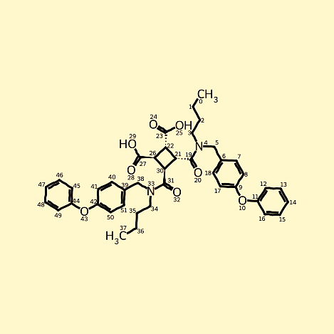 CCCCN(Cc1ccc(Oc2ccccc2)cc1)C(=O)[C@H]1[C@@H](C(=O)O)[C@H](C(=O)O)[C@@H]1C(=O)N(CCCC)Cc1ccc(Oc2ccccc2)cc1